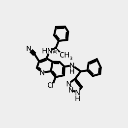 C[C@@H](Nc1c(C#N)cnc2c(Cl)cc(NC(c3ccccc3)c3c[nH]nn3)cc12)c1ccccc1